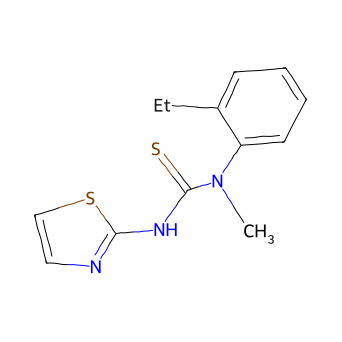 CCc1ccccc1N(C)C(=S)Nc1nccs1